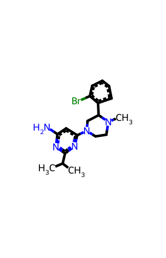 CC(C)c1nc(N)cc(N2CCN(C)C(c3ccccc3Br)C2)n1